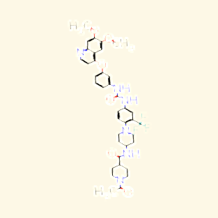 COc1cc2nccc(Oc3cccc(NC(=O)Nc4ccc(N5CCC(NC(=O)C6CCN(C(C)=O)CC6)CC5)c(C(F)(F)F)c4)c3)c2cc1OC